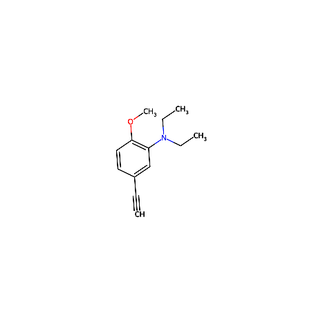 C#Cc1ccc(OC)c(N(CC)CC)c1